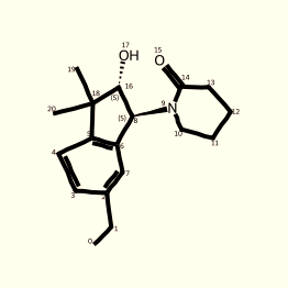 CCc1ccc2c(c1)[C@H](N1CCCCC1=O)[C@@H](O)C2(C)C